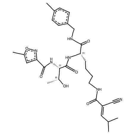 Cc1ccc(CNC(=O)[C@H](CCCCNC(=O)C(C#N)=CC(C)C)NC(=O)[C@@H](NC(=O)c2cc(C)on2)[C@@H](C)O)cc1